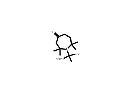 CCCCCC(C)(CCC)P1C(C)(C)CCC(=O)CC1(C)C